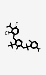 Cc1ccc(F)cc1C(C)(C)Cc1ccc(Cc2ccc(F)c(C(C)C)c2Cl)c(C(C)(C)C)c1F